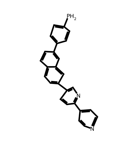 Pc1ccc(-c2ccc3ccc(-c4ccc(-c5ccncc5)nc4)cc3c2)cc1